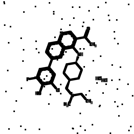 CCN(C)C[C@H]1CC[C@H](Nc2c(C(C)=O)cnc3ccc(-c4cc(F)c(O)c(Cl)c4)cc23)CC1.Cl.Cl